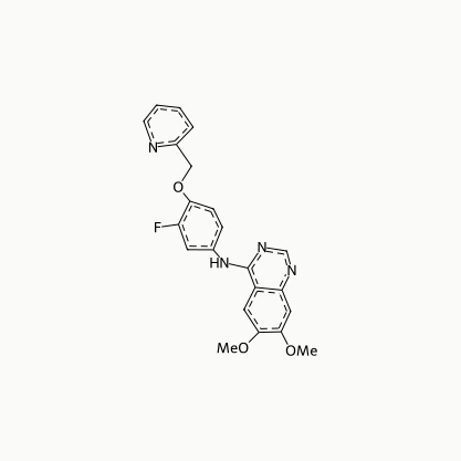 COc1cc2ncnc(Nc3ccc(OCc4ccccn4)c(F)c3)c2cc1OC